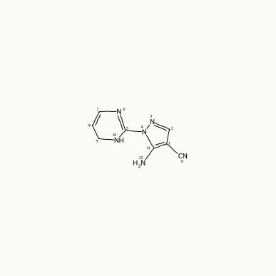 N#Cc1cnn(C2=NC=CCN2)c1N